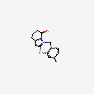 CCOC(=O)c1cc2c(n1Cc1ccc(C)cc1)C(=O)CCC2